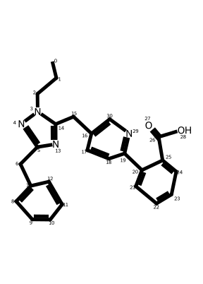 CCCn1nc(Cc2ccccc2)nc1Cc1ccc(-c2ccccc2C(=O)O)nc1